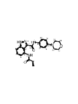 C=CC(=O)Nc1cccc2[nH]nc(C(=O)Nc3ccc(N4CCOCC4)cc3)c12